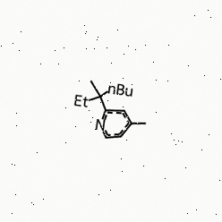 CCCCC(C)(CC)c1cc(C)ccn1